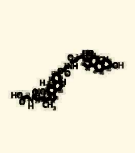 C[C@H](CCC(=O)NCC(=O)O[C@@H]1CC[C@]2(C)C3C[C@H](O)[C@@]4(C)C(CC[C@@H]4[C@H](C)CCC(=O)NCC(=O)O)C3CC[C@@H]2C1)[C@H]1CCC2C3CCC4C[C@H](O)CC[C@]4(C)C3C[C@H](O)[C@@]21C